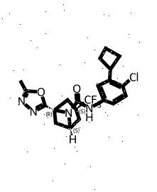 Cc1nnc([C@]23C[C@H](C[C@H](C(F)(F)F)C2)N3C(=O)Nc2ccc(Cl)c(C3CCC3)c2)o1